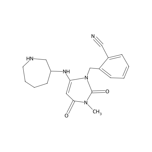 Cn1c(=O)cc(NC2CCCCNC2)n(Cc2ccccc2C#N)c1=O